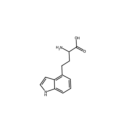 NC(CCc1cccc2[nH]ccc12)C(=O)O